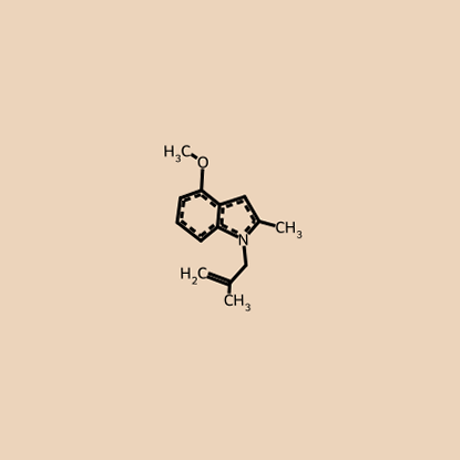 C=C(C)Cn1c(C)cc2c(OC)cccc21